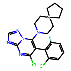 Fc1cccc(Cl)c1-c1c(Cl)nc2ncnn2c1N1CC[Si]2(CCCC2)CC1